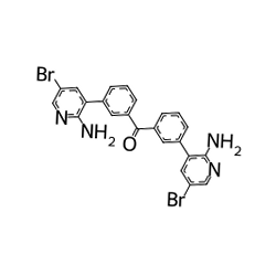 Nc1ncc(Br)cc1-c1cccc(C(=O)c2cccc(-c3cc(Br)cnc3N)c2)c1